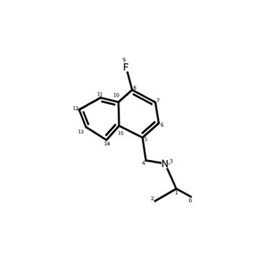 CC(C)[N]Cc1ccc(F)c2ccccc12